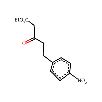 CCOC(=O)CC(=O)CCc1ccc([N+](=O)[O-])cc1